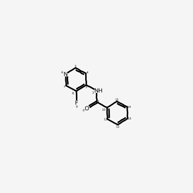 O=C(Nc1ccncc1F)c1ccccc1